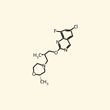 C[C@@H](COc1ncc2cc(Cl)cc(F)c2n1)CN1CCO[C@@H](C)C1